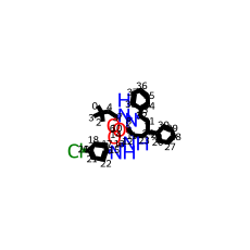 CC(C)(C)CC(=O)NN1C(=O)C(NC(=O)Nc2ccc(Cl)cc2)CC(c2ccccc2)CC1c1ccccc1